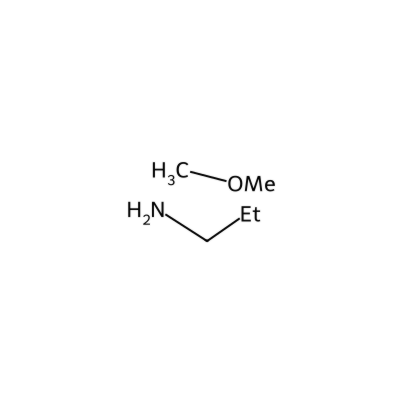 CCCN.COC